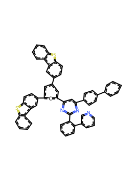 c1ccc(-c2ccc(-c3cc(-c4cc(-c5ccc6sc7ccccc7c6c5)cc(-c5ccc6sc7ccccc7c6c5)c4)nc(-c4ccccc4-c4cccnc4)n3)cc2)cc1